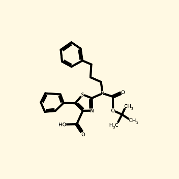 CC(C)(C)OC(=O)N(CCCc1ccccc1)c1nc(C(=O)O)c(-c2ccccc2)s1